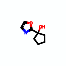 OC1(c2ncco2)CCCC1